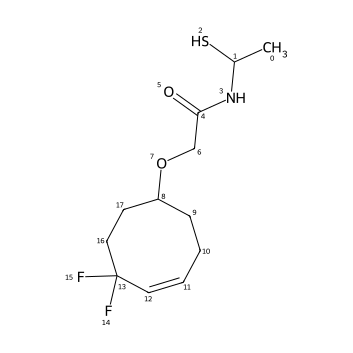 CC(S)NC(=O)COC1CC/C=C\C(F)(F)CC1